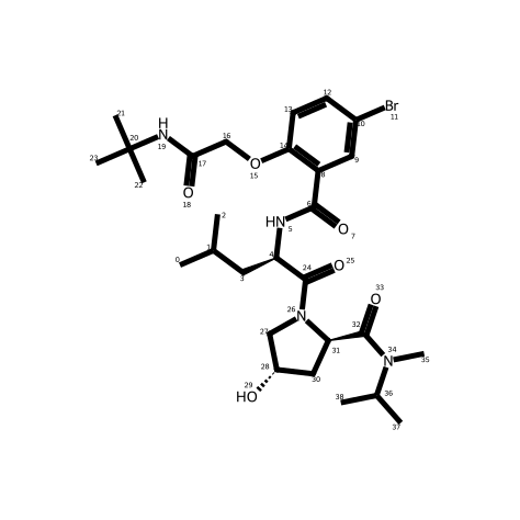 CC(C)C[C@@H](NC(=O)c1cc(Br)ccc1OCC(=O)NC(C)(C)C)C(=O)N1C[C@@H](O)C[C@@H]1C(=O)N(C)C(C)C